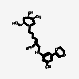 CCC/C(=C\CCCN1C[C@H](O)[C@@H](O)C[C@H]1CO)CNc1cc(C#N)cc(C2=COCCO2)c1